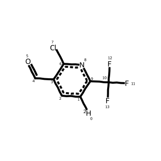 [2H]c1cc(C=O)c(Cl)nc1C(F)(F)F